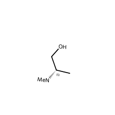 [CH2]N[C@@H](C)CO